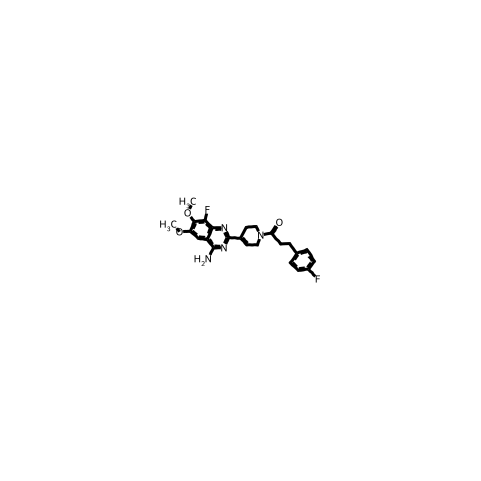 COc1cc2c(N)nc(C3=CCN(C(=O)CCc4ccc(F)cc4)CC3)nc2c(F)c1OC